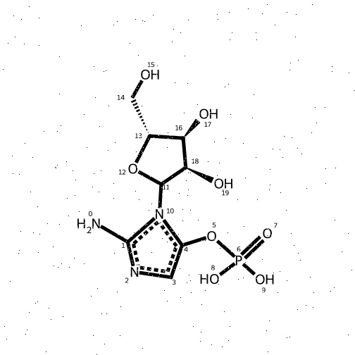 Nc1ncc(OP(=O)(O)O)n1C1O[C@H](CO)[C@@H](O)[C@H]1O